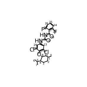 CC1CCC(C(C)C)C(Oc2c(Cl)cc(NC(=O)NC(=O)c3c(F)cccc3F)cc2Cl)C1